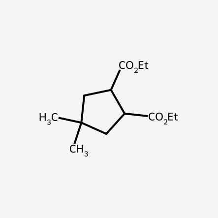 CCOC(=O)C1CC(C)(C)CC1C(=O)OCC